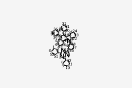 c1ccc(-c2nc(-c3ccccc3)nc(-c3cccc(-n4c5ccccc5c5c6c7ccccc7c7ccccc7c6c6ccccc6c54)c3)n2)cc1